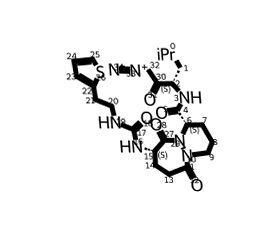 CC(C)C[C@H](NC(=O)[C@@H]1CCCN2C(=O)CC[C@H](NC(=O)NCCc3cccs3)C(=O)N12)C(=O)C=[N+]=[N-]